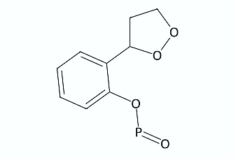 O=POc1ccccc1C1CCOO1